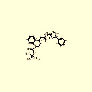 CC(C)(C)OC(=O)N1CCC(CC(=O)Nc2nnc(-c3ccncc3)[nH]2)c2ccccc21